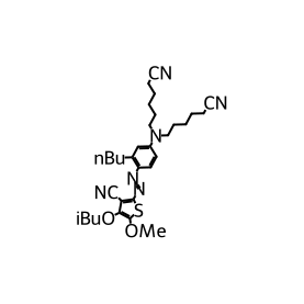 CCCCc1cc(N(CCCCCC#N)CCCCCC#N)ccc1/N=N/c1sc(OC)c(OCC(C)C)c1C#N